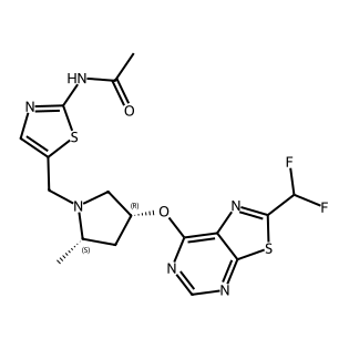 CC(=O)Nc1ncc(CN2C[C@H](Oc3ncnc4sc(C(F)F)nc34)C[C@@H]2C)s1